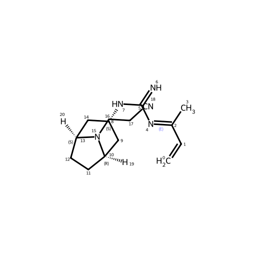 C=C/C(C)=N/C(=N)N[C@@H]1C[C@H]2CC[C@@H](C1)N2CCC#N